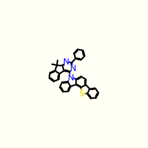 CC1(C)c2ccccc2-c2c(-n3c4ccccc4c4c5sc6ccccc6c5ccc43)nc(-c3ccccc3)nc21